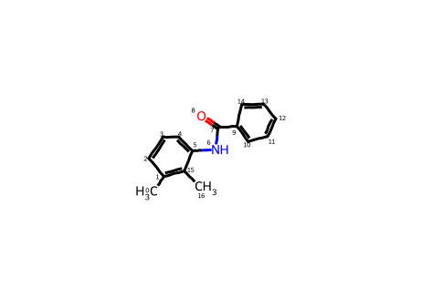 Cc1cccc(NC(=O)c2ccccc2)c1C